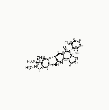 CN1Cc2cc(Nc3ncc4c(=O)n(-c5c(F)cccc5Cl)c5nccn5c4n3)ccc2C1(C)C